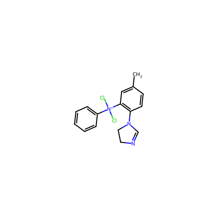 Cc1ccc(N2C=NCC2)c([N+](Cl)(Cl)c2ccccc2)c1